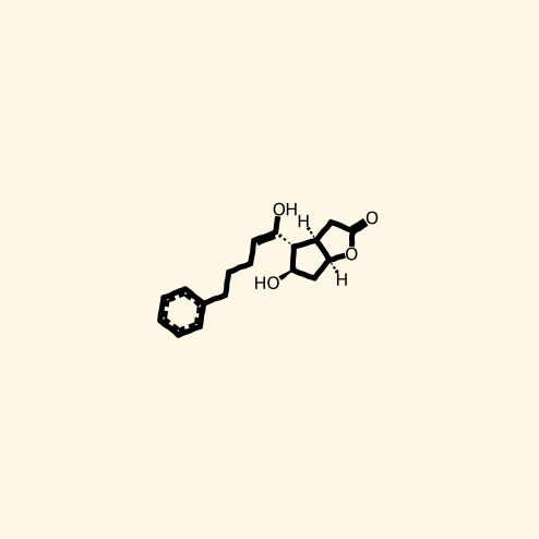 O=C1C[C@@H]2[C@@H](/C(O)=C\CCCc3ccccc3)[C@H](O)C[C@@H]2O1